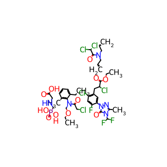 C=CCN(CC=C)C(=O)C(Cl)Cl.CCOC(=O)C(Cl)Cc1cc(-n2nc(C)n(C(F)F)c2=O)c(F)cc1Cl.CCOCN(C(=O)CCl)c1c(C)cccc1CC.O=C(O)CNCP(=O)(O)O